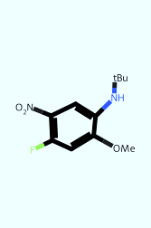 COc1cc(F)c([N+](=O)[O-])cc1NC(C)(C)C